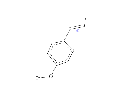 C/C=C/c1ccc(OCC)cc1